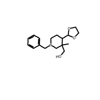 CC1(CO)CN(Cc2ccccc2)CCC1C1OCCO1